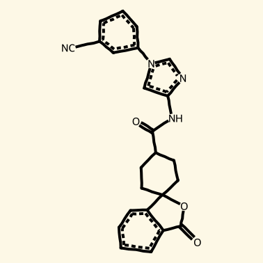 N#Cc1cccc(-n2cnc(NC(=O)C3CCC4(CC3)OC(=O)c3ccccc34)c2)c1